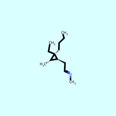 CCCC[C@@]1(CC)[C@@H](C)[C@@H]1C/C=N/C